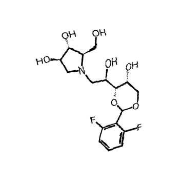 OC[C@@H]1[C@@H](O)[C@H](O)CN1C[C@@H](O)[C@H]1OC(c2c(F)cccc2F)OC[C@H]1O